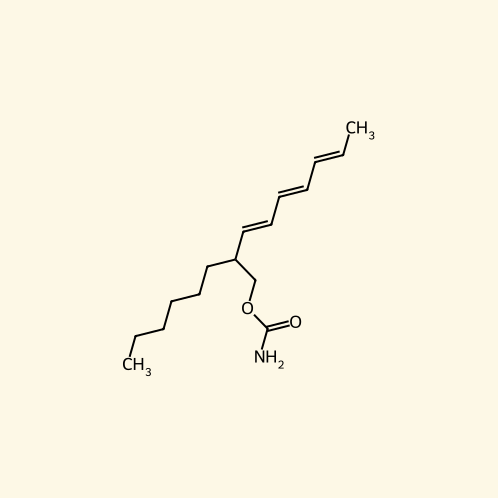 CC=CC=CC=CC(CCCCCC)COC(N)=O